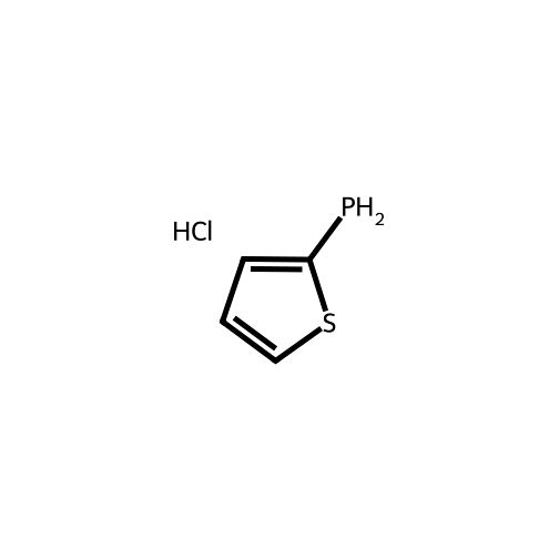 Cl.Pc1cccs1